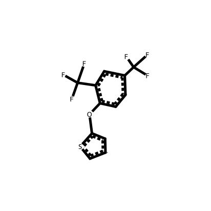 FC(F)(F)c1ccc(Oc2c[c]cs2)c(C(F)(F)F)c1